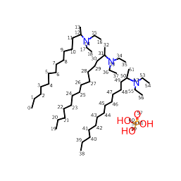 CCCCCCCCCCCCC(C)N(CC)CC.CCCCCCCCCCCCC(C)N(CC)CC.CCCCCCCCCCCCC(C)N(CC)CC.O=P(O)(O)O